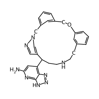 Nc1cc(C2CCNCCc3cccc(c3)OCc3cccc(c3)Cn3cc2cn3)c2nn[nH]c2n1